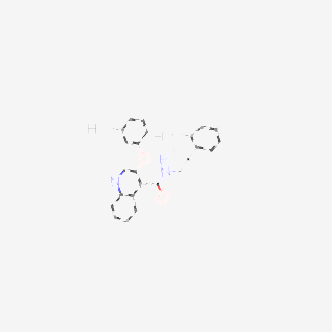 Cc1cccc(Oc2cnc3ccccc3c2C(=O)NCC(F)(F)c2ccc(C)cc2C)c1